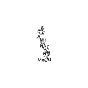 COC(=O)c1cnc(N2CCn3cc(CNC4CC4c4ccc(F)cc4)nc3C2)nc1